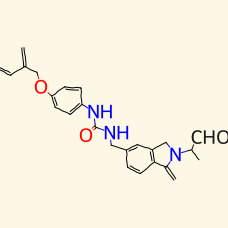 C=CC(=C)COc1ccc(NC(=O)NCc2ccc3c(c2)CN(C(C)C=O)C3=C)cc1